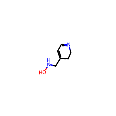 ONCC1=CC=NCC1